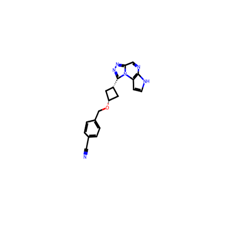 N#Cc1ccc(CO[C@H]2C[C@@H](c3nnc4cnc5[nH]ccc5n43)C2)cc1